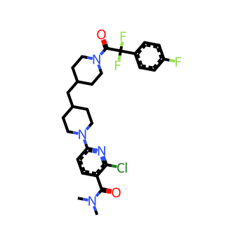 CN(C)C(=O)c1ccc(N2CCC(CC3CCN(C(=O)C(F)(F)c4ccc(F)cc4)CC3)CC2)nc1Cl